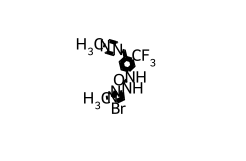 CN1CCN(Cc2ccc(NC(=O)Nc3cc(Br)n(C)n3)cc2C(F)(F)F)CC1